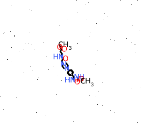 COC(=O)CCNC(=O)CN1CCN(c2ccc(C(=N)NC(=O)OC)cc2)CC1